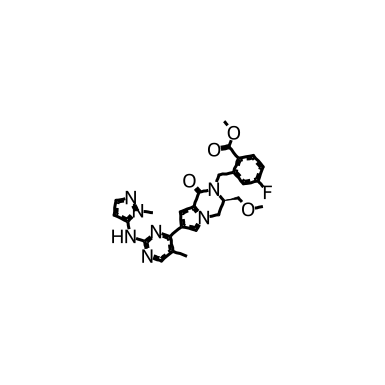 COC[C@H]1Cn2cc(-c3nc(Nc4ccnn4C)ncc3C)cc2C(=O)N1Cc1cc(F)ccc1C(=O)OC